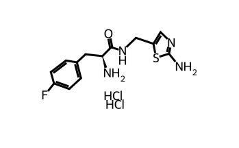 Cl.Cl.Nc1ncc(CNC(=O)[C@@H](N)Cc2ccc(F)cc2)s1